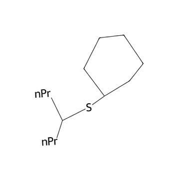 CCCC(CCC)SC1CCCCC1